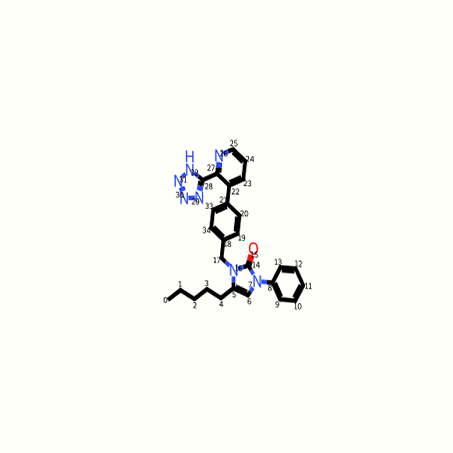 CCCCCc1cn(-c2ccccc2)c(=O)n1Cc1ccc(-c2cccnc2-c2nnn[nH]2)cc1